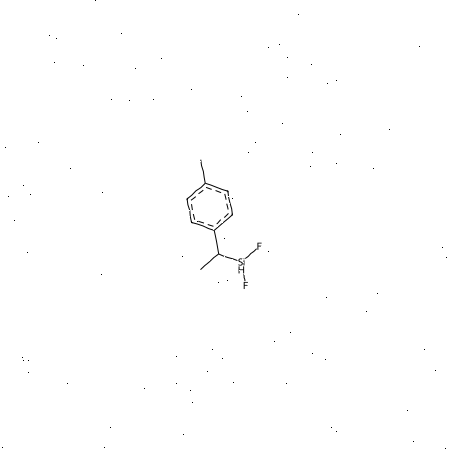 Cc1ccc(C(C)[SiH](F)F)cc1